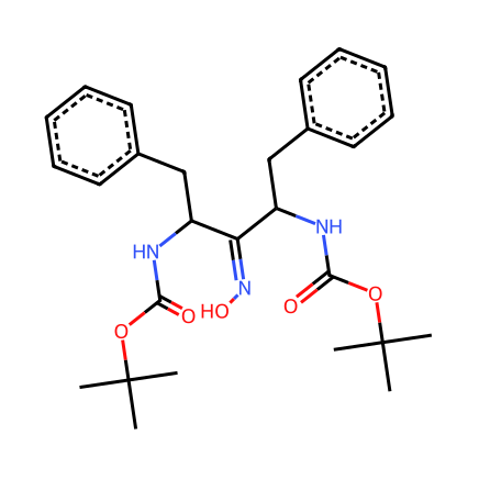 CC(C)(C)OC(=O)NC(Cc1ccccc1)C(=NO)C(Cc1ccccc1)NC(=O)OC(C)(C)C